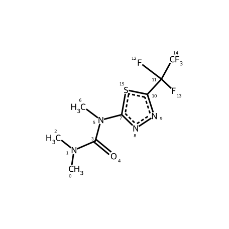 CN(C)C(=O)N(C)c1nnc(C(F)(F)C(F)(F)F)s1